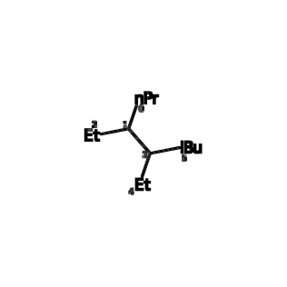 CCCC(CC)C(CC)C(C)CC